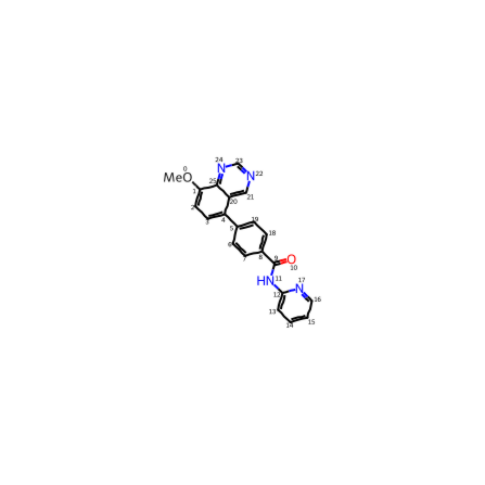 COc1ccc(-c2ccc(C(=O)Nc3ccccn3)cc2)c2cncnc12